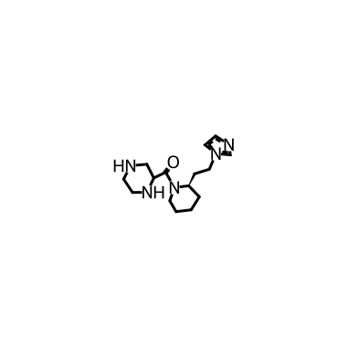 O=C(C1CNCCN1)N1CCCC[C@@H]1CCn1ccnc1